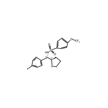 O=S(=O)(N[C@@H](c1ccc(F)cc1)[C@H]1CCCO1)c1ccc(OC(F)(F)F)cc1